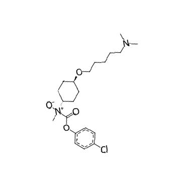 CN(C)CCCCCO[C@H]1CC[C@H]([N+](C)([O-])C(=O)Oc2ccc(Cl)cc2)CC1